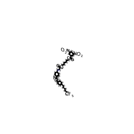 O=C(/C=C/c1ccc(C(F)(F)Oc2ccc(CCCCCC(F)(F)F)cc2)cc1)OCCCCCCOC(=O)c1cc([N+](=O)[O-])cc([N+](=O)[O-])c1